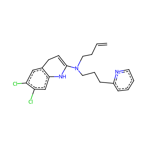 C=CCCN(CCCc1ccccn1)C1=CCc2cc(Cl)c(Cl)cc2N1